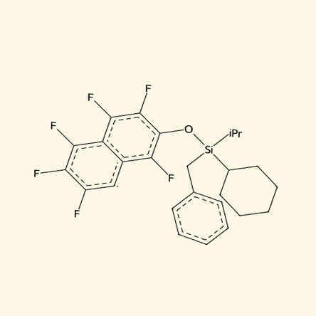 CC(C)[Si](Cc1ccccc1)(Oc1c(F)c(F)c2c(F)c(F)c(F)[c]c2c1F)C1CCCCC1